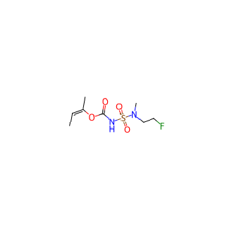 C/C=C(/C)OC(=O)NS(=O)(=O)N(C)CCF